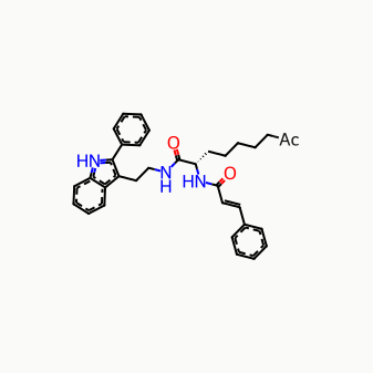 CC(=O)CCCCC[C@H](NC(=O)C=Cc1ccccc1)C(=O)NCCc1c(-c2ccccc2)[nH]c2ccccc12